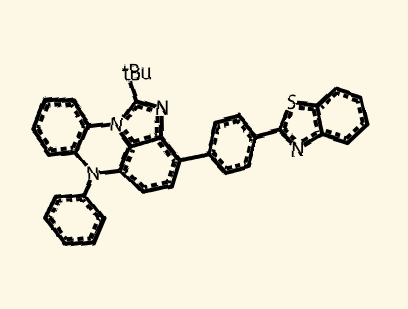 CC(C)(C)c1nc2c(-c3ccc(-c4nc5ccccc5s4)cc3)ccc3c2n1-c1ccccc1N3c1ccccc1